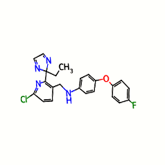 CCC1(c2nc(Cl)ccc2CNc2ccc(Oc3ccc(F)cc3)cc2)N=CC=N1